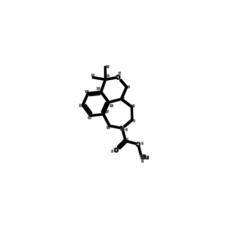 CC(C)(C)OC(=O)N1CCC2COC(C)(C)c3cccc(c32)C1